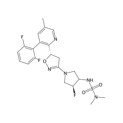 Cc1cnc([C@@H]2CC(N3CC(NS(=O)(=O)N(C)C)[C@@H](F)C3)=NO2)c(-c2c(F)cccc2F)c1